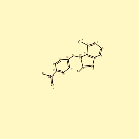 Cc1nc2ccnc(Cl)c2n1Cc1ccc([N+](C)=O)cc1